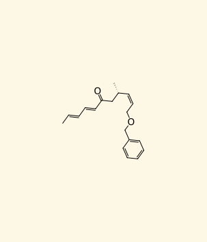 C/C=C/C=C/C(=O)C[C@H](C)/C=C\COCc1ccccc1